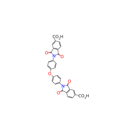 O=C(O)c1ccc2c(c1)C(=O)N(c1ccc(Oc3ccc(N4C(=O)c5ccc(C(=O)O)cc5C4=O)cc3)cc1)C2=O